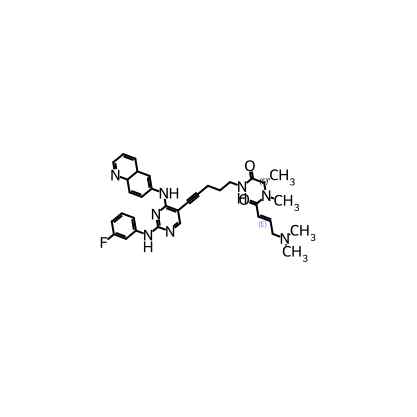 C[C@@H](C(=O)NCCCC#Cc1cnc(Nc2cccc(F)c2)nc1NC1=CC2C=CC=NC2C=C1)N(C)C(=O)/C=C/CN(C)C